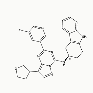 Fc1cncc(-c2nc(N[C@@H]3CCc4[nH]c5ccccc5c4C3)n3ncc(C4CCOC4)c3n2)c1